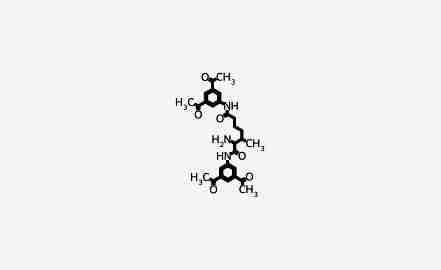 CC(=O)c1cc(NC(=O)CCCC(C)C(N)C(=O)Nc2cc(C(C)=O)cc(C(C)=O)c2)cc(C(C)=O)c1